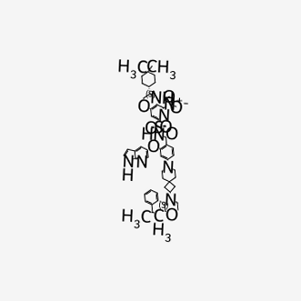 CC(C)c1ccccc1[C@H]1COCCN1C1CC2(CCN(c3ccc(C(=O)NS(=O)(=O)c4cc5c(c([N+](=O)[O-])n4)N[C@@H](C4CCC(C)(C)CC4)CO5)c(Oc4cnc5[nH]ccc5c4)c3)CC2)C1